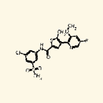 COc1cc(F)cnc1-c1cc(C(=O)Nc2cc(Cl)cc(S(C)(=O)=O)c2)sc1C